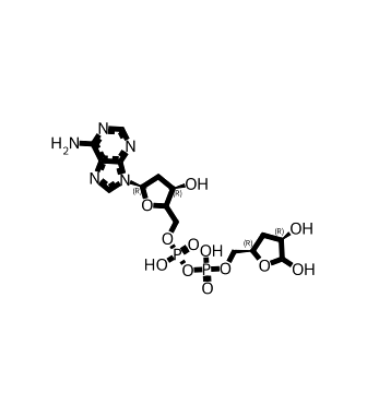 Nc1ncnc2c1ncn2[C@H]1C[C@@H](O)C(COP(=O)(O)OP(=O)(O)OC[C@H]2C[C@@H](O)C(O)O2)O1